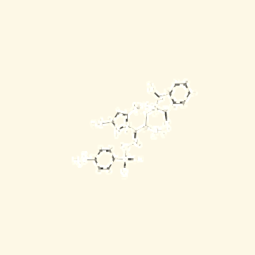 CC(=O)Nc1cc(C(C)(C)C)nn1C(=NOS(=O)(=O)c1ccc(C)cc1)C(C)CN1C(=O)c2ccccc2C1=O